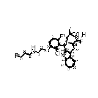 CC(CN1C(c2c(F)ccc(OCCNCCCF)c2Cl)c2[nH]c3ccccc3c2CC1C(F)F)C(=O)O